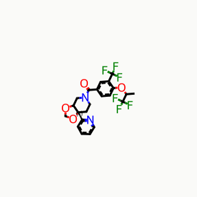 CC(Oc1ccc(C(=O)N2CC[C@]3(c4ccccn4)OCOC3C2)cc1C(F)(F)F)C(F)(F)F